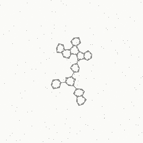 c1ccc(-c2cc(-c3ccc4ccccc4c3)nc(-c3ccc(-n4c5ccccc5c5c6ccccc6c6c7ccccc7ccc6c54)cc3)n2)cc1